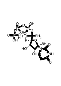 BC(B)(OP(=O)(O)OP(=O)(O)OP(=O)(O)O)[C@@]1(F)O[C@@](B)(n2ccc(=O)[nH]c2=O)[C@H](O)[C@@H]1O